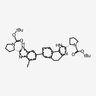 CC(C)(C)OC(=O)N1CCC[C@H]1c1nc2c([nH]1)-c1ccc(-c3cc(F)c4nc([C@@H]5CCCN5C(=O)OC(C)(C)C)[nH]c4c3)cc1CC2